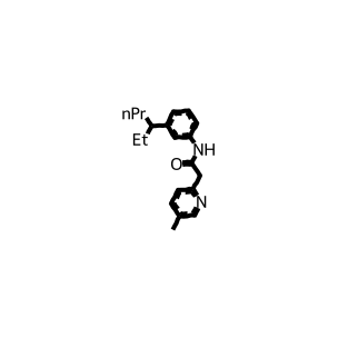 CCCC(CC)c1cccc(NC(=O)Cc2ccc(C)cn2)c1